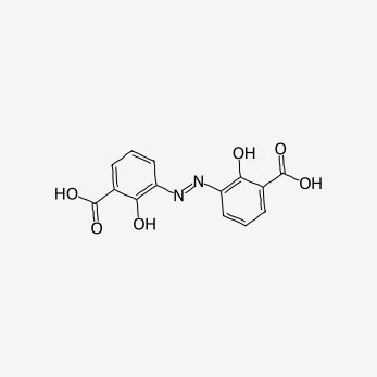 O=C(O)c1cccc(/N=N/c2cccc(C(=O)O)c2O)c1O